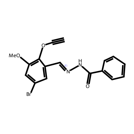 C#COc1c(/C=N/NC(=O)c2ccccc2)cc(Br)cc1OC